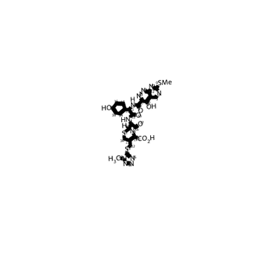 CSc1ncc2c(O)c(C(=O)NC(C(=O)NC3C(=O)N4C(C(=O)O)=C(CSc5nnnn5C)CS[C@H]34)c3ccc(O)cc3)nnc2n1